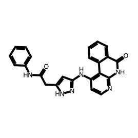 O=C(Cc1cc(Nc2ccnc3[nH]c(=O)c4ccccc4c23)n[nH]1)Nc1ccccc1